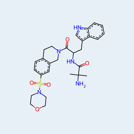 CC(C)(N)C(=O)NC(Cc1c[nH]c2ccccc12)C(=O)N1CCc2ccc(S(=O)(=O)N3CCOCC3)cc2C1